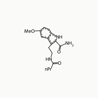 CCCC(=O)NCCc1c(C(N)=O)[nH]c2ccc(OC)cc12